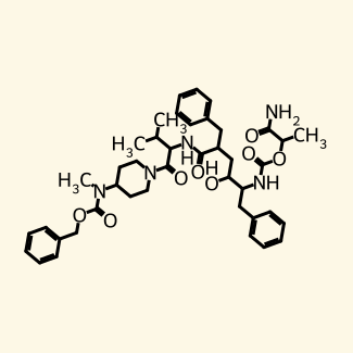 CC(OC(=O)NC(Cc1ccccc1)C(O)CC(Cc1ccccc1)C(=O)NC(C(=O)N1CCC(N(C)C(=O)OCc2ccccc2)CC1)C(C)C)C(N)=O